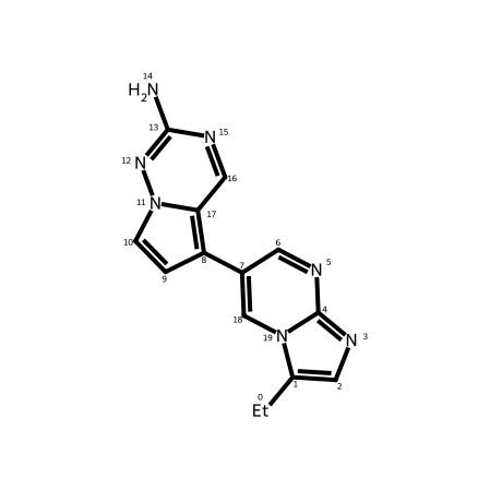 CCc1cnc2ncc(-c3ccn4nc(N)ncc34)cn12